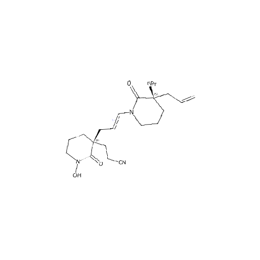 C=CC[C@]1(CCC)CCCN(/C=C/C[C@]2(CCC#N)CCCN(O)C2=O)C1=O